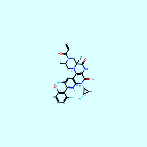 C=CC(=O)N1C[C@@H]2C(=O)Nc3c(c4cc(F)c(-c5c(O)cccc5F)nc4n([C@@H]4C[C@@H]4F)c3=O)N2C[C@H]1C